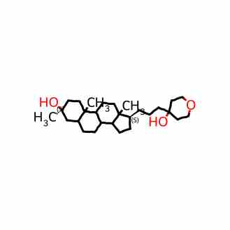 CC12CC[C@](C)(O)CC1CCC1C2CCC2(C)C1CC[C@@H]2CCCC1(O)CCOCC1